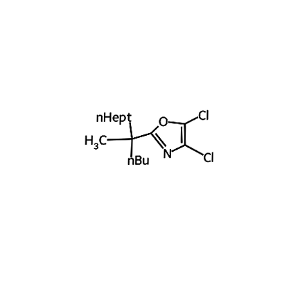 CCCCCCCC(C)(CCCC)c1nc(Cl)c(Cl)o1